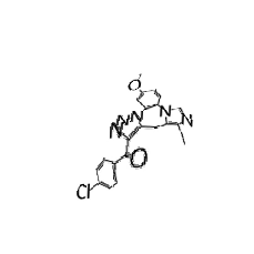 COc1ccc2c(c1)-n1nnc(C(=O)c3ccc(Cl)cc3)c1Cc1c(C)ncn1-2